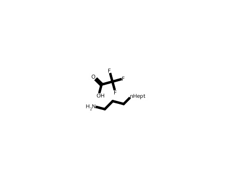 CCCCCCCCCCN.O=C(O)C(F)(F)F